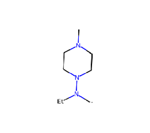 [CH2]N(CC)N1CCN(C)CC1